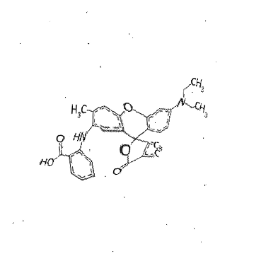 CCN(CC)c1ccc2c(c1)Oc1cc(C)c(Nc3ccccc3C(=O)O)cc1C21OC(=O)c2ccccc21